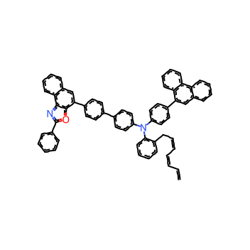 C=C/C=C\C=C/Cc1ccccc1N(c1ccc(-c2ccc(-c3cc4ccccc4c4nc(-c5ccccc5)oc34)cc2)cc1)c1ccc(-c2cc3ccccc3c3ccccc23)cc1